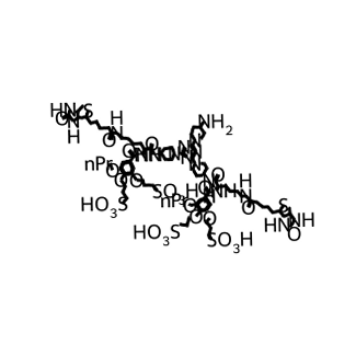 CCCOc1cc(C(=O)NC(CCCCNC(=O)CCCCC2SCC3NC(=O)NC32)C(=O)NC2CCN(c3nc(N4CCC(N)CC4)nc(N4CCC(NC(=O)C(CCCCNC(=O)CCCCC5SCC6NC(=O)NC65)NC(=O)c5cc(OCCC)c(OCCCS(=O)(=O)O)c(OCCCS(=O)(=O)O)c5)CC4)n3)CC2)cc(OCCCS(=O)(=O)O)c1OCCCS(=O)(=O)O